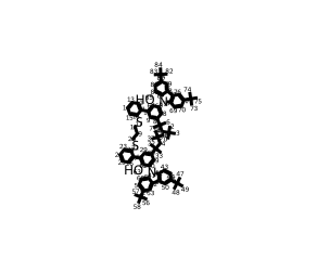 CC(C)(C)CC(C)(C)c1cc(-c2ccccc2SCCCSc2ccccc2-c2cc(C(C)(C)CC(C)(C)C)cc(-n3c4ccc(C(C)(C)C)cc4c4cc(C(C)(C)C)ccc43)c2O)c(O)c(-n2c3ccc(C(C)(C)C)cc3c3cc(C(C)(C)C)ccc32)c1